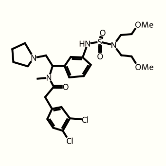 COCCN(CCOC)S(=O)(=O)Nc1cccc(C(CN2CCCC2)N(C)C(=O)Cc2ccc(Cl)c(Cl)c2)c1